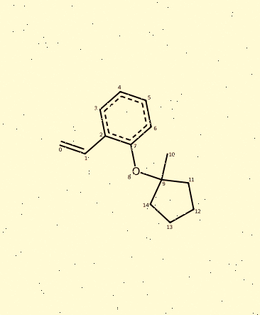 C=Cc1ccccc1OC1(C)CCCC1